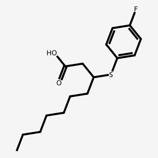 CCCCCCCC(CC(=O)O)Sc1ccc(F)cc1